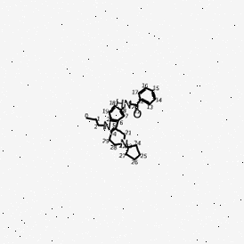 CCCn1c2c(c3cc(NC(=O)c4ccccc4)ccc31)CN(C1CCCC1)CC2